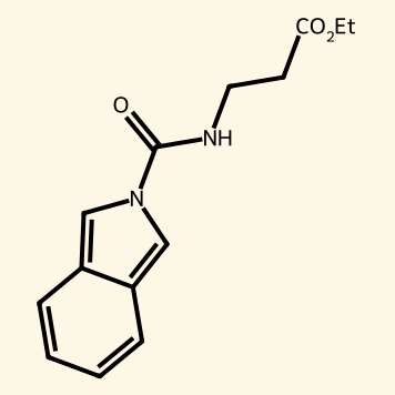 CCOC(=O)CCNC(=O)n1cc2ccccc2c1